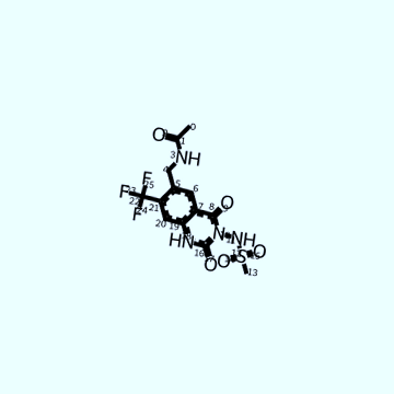 CC(=O)NCc1cc2c(=O)n(NS(C)(=O)=O)c(=O)[nH]c2cc1C(F)(F)F